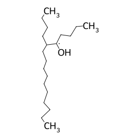 CCCCCCCCCCC(CCCC)[C](O)CCCC